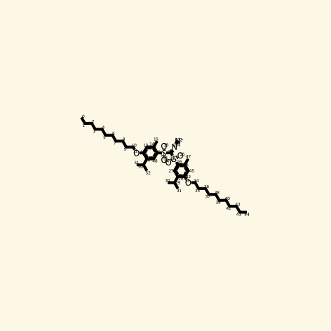 CCCCCCCCCCCOc1cc(C)c(S(=O)(=O)C(=[N+]=[N-])S(=O)(=O)c2cc(C(C)C)c(OCCCCCCCCCCC)cc2C)cc1C(C)C